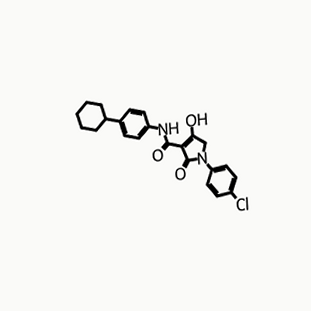 O=C(Nc1ccc(C2CCCCC2)cc1)C1=C(O)CN(c2ccc(Cl)cc2)C1=O